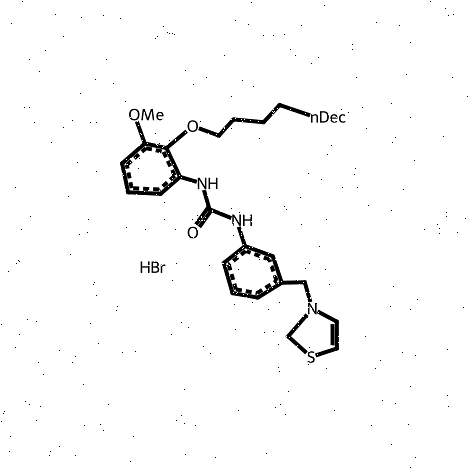 Br.CCCCCCCCCCCCCCOc1c(NC(=O)Nc2cccc(CN3C=CSC3)c2)cccc1OC